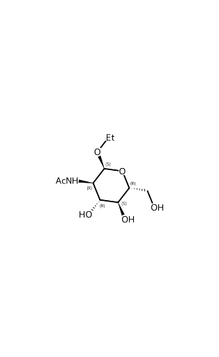 CCO[C@H]1O[C@H](CO)[C@@H](O)[C@H](O)[C@H]1NC(C)=O